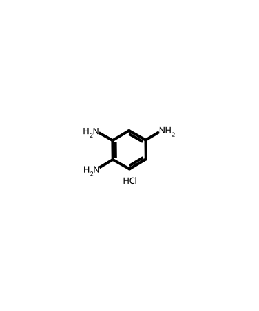 Cl.Nc1ccc(N)c(N)c1